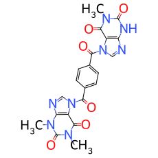 Cn1c(=O)[nH]c2ncn(C(=O)c3ccc(C(=O)n4cnc5c4c(=O)n(C)c(=O)n5C)cc3)c2c1=O